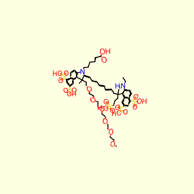 CCNc1ccc2c(S(=O)(=O)O)cc(S(=O)(=O)O)cc2c1C(C)(C/C=C/C=C/C=C/C=C1/N(CCCCCC(=O)O)c2ccc3c(S(=O)(=O)O)cc(S(=O)(=O)O)cc3c2C1(C)CCOCCOCCOCCOCCOCCOC)CCCS(=O)(=O)O